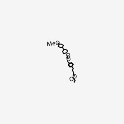 C=CC(=O)OCCCCc1ccc(COCOC2CCC(C3CCC(OC)CC3)CC2)cc1